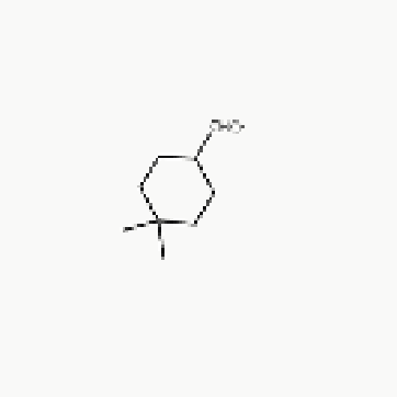 CC1(C)CCC([C]=O)CC1